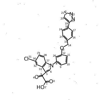 O=C(O)C(=O)c1cn(-c2cccc(OCc3ccc(-c4csnn4)cc3)c2)c2ccc(Cl)cc12